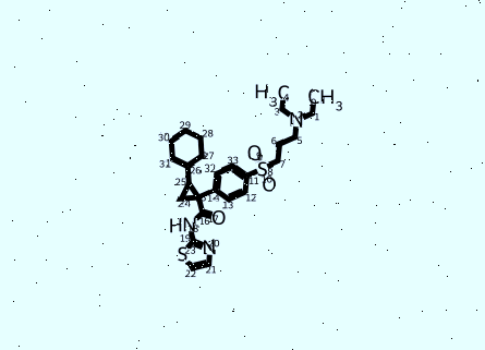 CCN(CC)CCCS(=O)(=O)c1ccc(C2(C(=O)Nc3nccs3)CC2C2CCCCC2)cc1